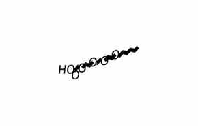 CCCCCCOCCOCCOCCOCC(=O)O